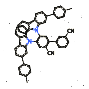 Cc1ccc(-c2ccc3c4ccccc4n(-c4cc(C#N)c(-c5cccc(C#N)c5)cc4-n4c5ccccc5c5ccc(-c6ccc(C)cc6)cc54)c3c2)cc1